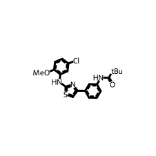 COc1ccc(Cl)cc1Nc1nc(-c2cccc(NC(=O)C(C)(C)C)c2)cs1